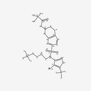 CC(C)(C)c1onc(N(COCC[Si](C)(C)C)S(=O)(=O)c2ccc3c(c2)CN(CC(=O)C(F)(F)F)CC3)c1Br